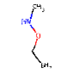 BCONC